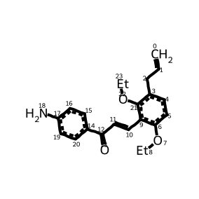 C=CCc1ccc(OCC)c(C=CC(=O)c2ccc(N)cc2)c1OCC